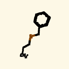 [CH2]CCSCc1ccccc1